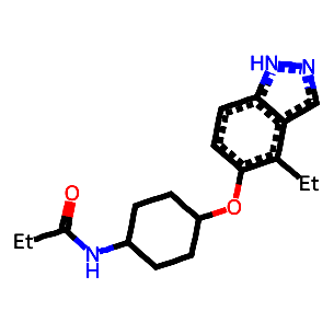 CCC(=O)NC1CCC(Oc2ccc3[nH]ncc3c2CC)CC1